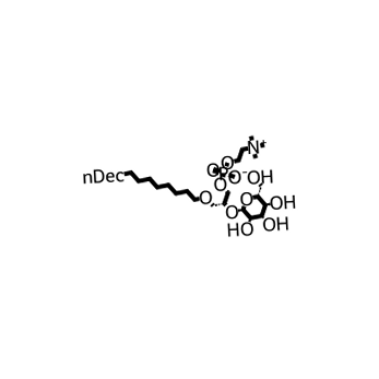 CCCCCCCCCCCCCCCCCCOC[C@H](COP(=O)([O-])OCC[N+](C)(C)C)O[C@H]1O[C@H](CO)[C@@H](O)[C@H](O)[C@H]1O